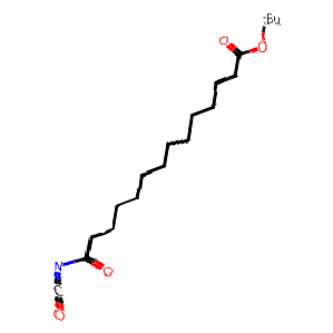 CC(C)(C)OC(=O)CCCCCCCCCCCCC(=O)N=C=O